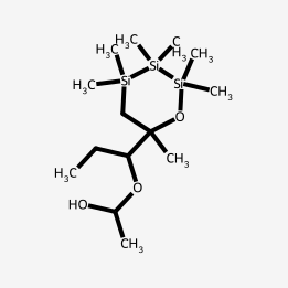 CCC(OC(C)O)C1(C)C[Si](C)(C)[Si](C)(C)[Si](C)(C)O1